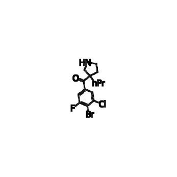 CCCC1(C(=O)c2cc(F)c(Br)c(Cl)c2)CCNC1